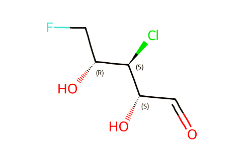 O=C[C@H](O)[C@H](Cl)[C@H](O)CF